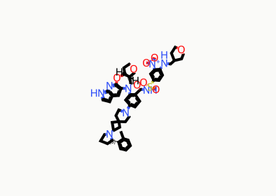 Cc1ccccc1[C@@H]1CCCN1C1CC2(CCN(c3ccc(C(=O)NS(=O)(=O)c4ccc(NCC5CCOCC5)c([N+](=O)[O-])c4)c(N4C[C@H]5COCC[C@H]5Oc5nc6[nH]ccc6cc54)c3)CC2)C1